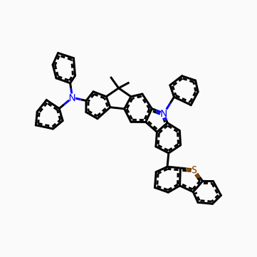 CC1(C)c2cc(N(c3ccccc3)c3ccccc3)ccc2-c2cc3c4cc(-c5cccc6c5sc5ccccc56)ccc4n(-c4ccccc4)c3cc21